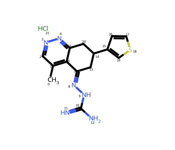 Cc1cnnc2c1C(=NNC(=N)N)CC(c1ccsc1)C2.Cl